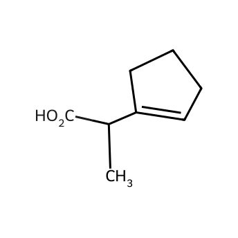 CC(C(=O)O)C1=CCCC1